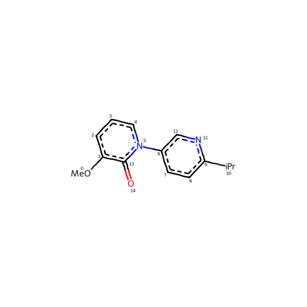 COc1cccn(-c2ccc(C(C)C)nc2)c1=O